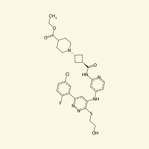 CCOC(=O)C1CCN([C@H]2C[C@H](C(=O)Nc3cc(Nc4cc(-c5cc(Cl)ccc5F)nnc4SCCO)ccn3)C2)CC1